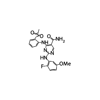 COc1ccc(F)c(Nc2ncc(C(N)=O)c(Nc3ccccc3S(C)(=O)=O)n2)c1